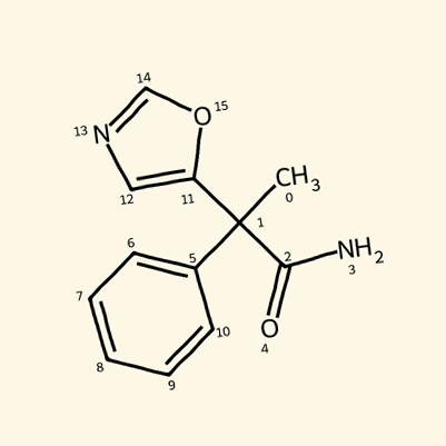 CC(C(N)=O)(c1ccccc1)c1cnco1